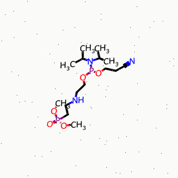 COP(=O)(CCNCCOP(OCCC#N)N(C(C)C)C(C)C)OC